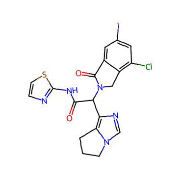 O=C(Nc1nccs1)C(c1ncn2c1CCC2)N1Cc2c(Cl)cc(I)cc2C1=O